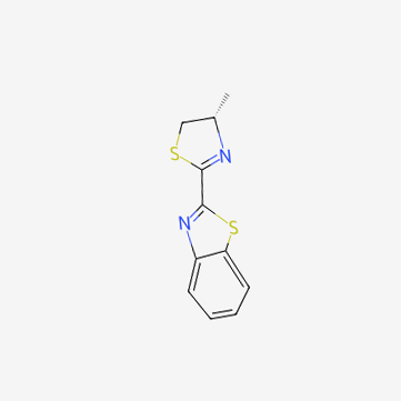 C[C@H]1CSC(c2nc3ccccc3s2)=N1